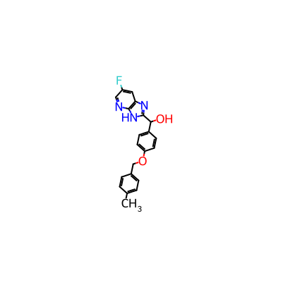 Cc1ccc(COc2ccc(C(O)c3nc4cc(F)cnc4[nH]3)cc2)cc1